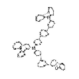 c1cc(-c2ccc(N(c3ccc(-c4ccc(-c5cccc(-n6c7ccccc7c7ccccc76)c5)cc4)cc3)c3ccc4c5ccccc5c5ccccc5c4c3)cc2)cc(-c2ccc3c(c2)oc2ccccc23)c1